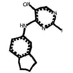 O=Nc1cnc(I)nc1Nc1ccc2c(c1)CCC2